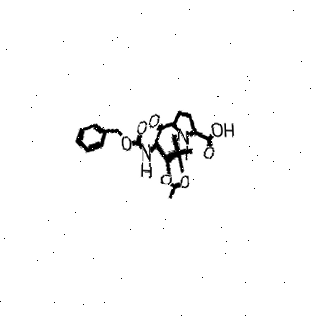 CC(=O)OC(C(NC(=O)OCc1ccccc1)C(=O)C1CCC(C(=O)O)N1)C(C)(C)C